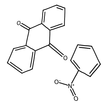 O=C1c2ccccc2C(=O)c2ccccc21.O=[N+]([O-])c1ccccc1